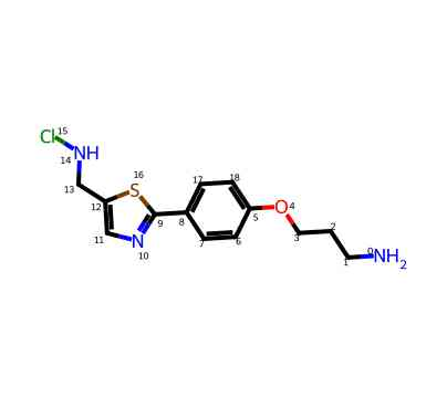 NCCCOc1ccc(-c2ncc(CNCl)s2)cc1